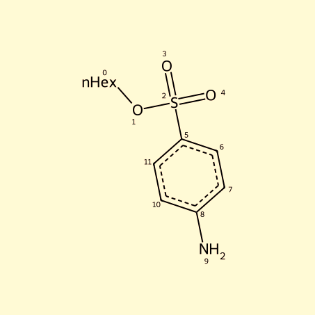 CCCCCCOS(=O)(=O)c1ccc(N)cc1